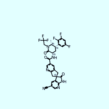 C[C@@H]1[C@H](c2cc(F)cc(F)c2F)C[C@H](NC(=O)c2cnc3c(c2)C[C@@]2(C3)C(=O)Nc3ncc(C#N)cc32)C(=O)N1CC(F)(F)F